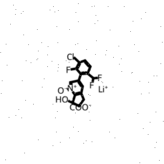 O=C([O-])C1(O)CCc2cc(-c3c(C(F)F)ccc(Cl)c3F)c[n+]([O-])c21.[Li+]